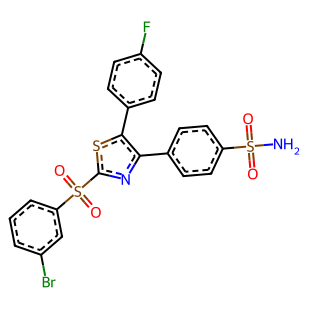 NS(=O)(=O)c1ccc(-c2nc(S(=O)(=O)c3cccc(Br)c3)sc2-c2ccc(F)cc2)cc1